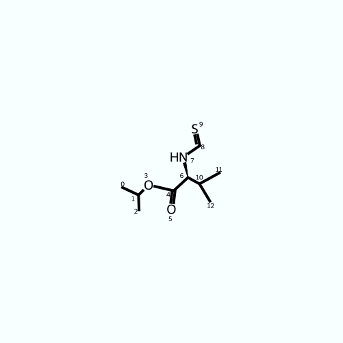 CC(C)OC(=O)[C@@H](NC=S)C(C)C